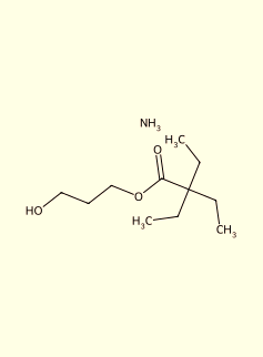 CCC(CC)(CC)C(=O)OCCCO.N